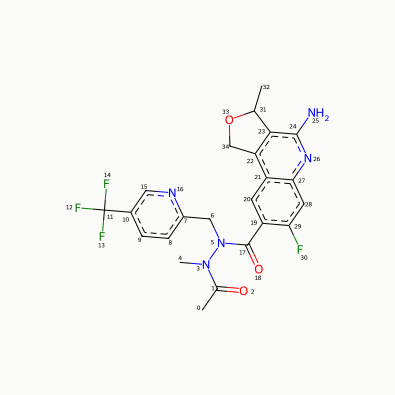 CC(=O)N(C)N(Cc1ccc(C(F)(F)F)cn1)C(=O)c1cc2c3c(c(N)nc2cc1F)C(C)OC3